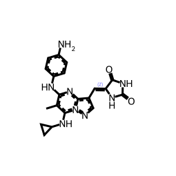 Cc1c(Nc2ccc(N)cc2)nc2c(/C=C3\NC(=O)NC3=O)cnn2c1NC1CC1